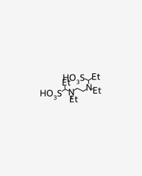 CCC(N(CC)CCN(CC)C(CC)S(=O)(=O)O)S(=O)(=O)O